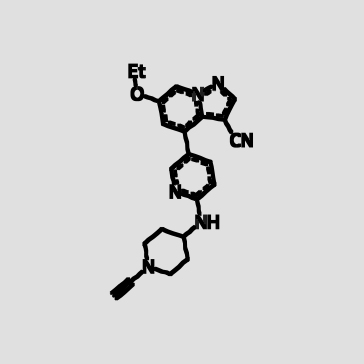 C#CN1CCC(Nc2ccc(-c3cc(OCC)cn4ncc(C#N)c34)cn2)CC1